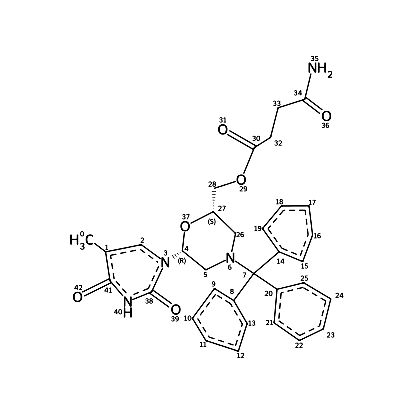 Cc1cn([C@H]2CN(C(c3ccccc3)(c3ccccc3)c3ccccc3)C[C@@H](COC(=O)CCC(N)=O)O2)c(=O)[nH]c1=O